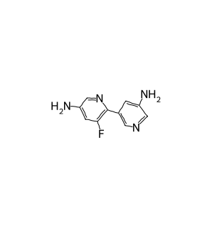 Nc1cncc(-c2ncc(N)cc2F)c1